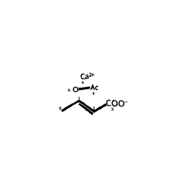 C/C=C/C(=O)[O-].CC(=O)[O-].[Ca+2]